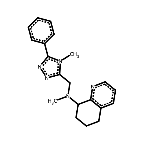 CN(Cc1nnc(-c2ccccc2)n1C)C1CCCc2cccnc21